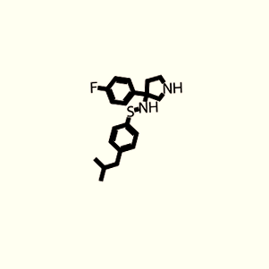 CC(C)Cc1ccc(SNC2(c3ccc(F)cc3)CCNC2)cc1